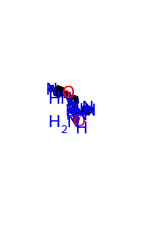 C[C@@H]1[C@H](NC(=O)c2ccc(N(C)C)cc2)CCCN1c1nnc(C(N)=O)c(Nc2cnn(C)c2)n1